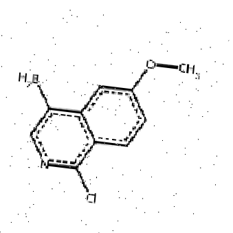 Bc1cnc(Cl)c2ccc(OC)cc12